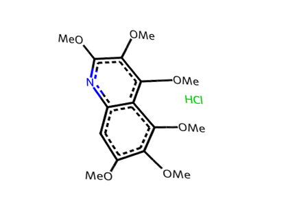 COc1cc2nc(OC)c(OC)c(OC)c2c(OC)c1OC.Cl